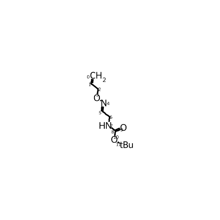 C=CCO/N=C/CNC(=O)OC(C)(C)C